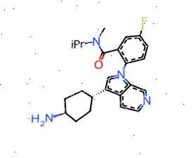 CC(C)N(C)C(=O)c1cc(F)ccc1-n1cc([C@H]2CC[C@H](N)CC2)c2ccncc21